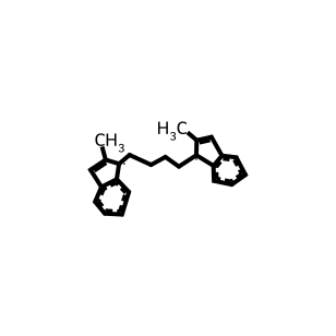 CC1=Cc2ccccc2[C]1CCCC[C]1C(C)=Cc2ccccc21